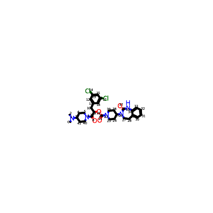 CN(C)C1CCN(C(=O)C(Cc2cc(Cl)cc(Cl)c2)OC(=O)N2CCC(N3CCc4ccccc4NC3=O)CC2)CC1